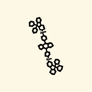 C[Si](C)(c1ccc(-c2c3ccccc3c(-c3ccc([Si](C)(C)C4C=CC5=C(C4)C(c4ccccc4)(c4ccccc4)c4ccccc45)cc3)c3ccccc23)cc1)c1ccc2c(c1)C(c1ccccc1)(c1ccccc1)c1ccccc1-2